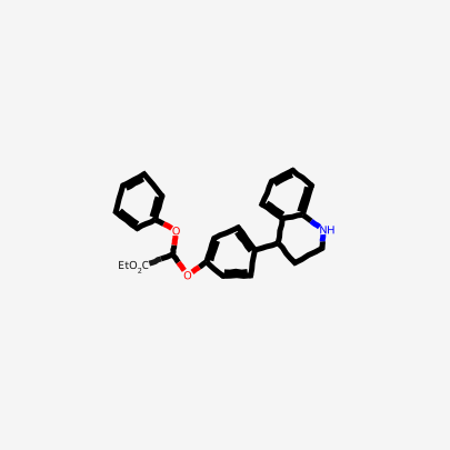 CCOC(=O)C(Oc1ccccc1)Oc1ccc(C2CCNc3ccccc32)cc1